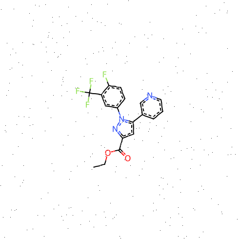 CCOC(=O)c1cc(-c2cccnc2)n(-c2ccc(F)c(C(F)(F)F)c2)n1